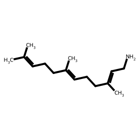 CC(C)=CCC/C(C)=C/CCC(C)=CCN